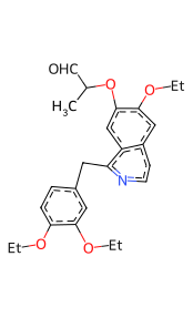 CCOc1ccc(Cc2nccc3cc(OCC)c(OC(C)C=O)cc23)cc1OCC